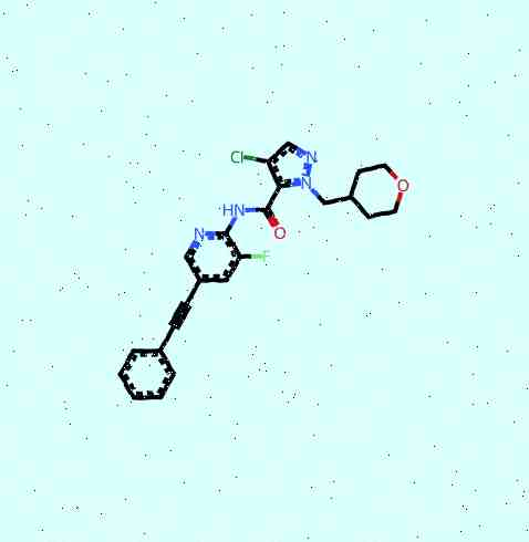 O=C(Nc1ncc(C#Cc2ccccc2)cc1F)c1c(Cl)cnn1CC1CCOCC1